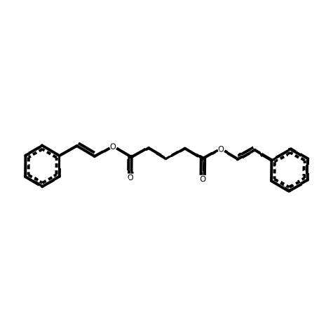 O=C(CCCC(=O)O/C=C/c1ccccc1)O/C=C/c1ccccc1